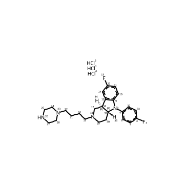 Cl.Cl.Cl.Fc1ccc(N2c3ccc(F)cc3[C@@H]3CN(CCCCN4CCNCC4)CC[C@H]32)cc1